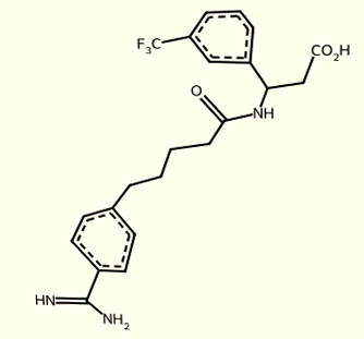 N=C(N)c1ccc(CCCCC(=O)NC(CC(=O)O)c2cccc(C(F)(F)F)c2)cc1